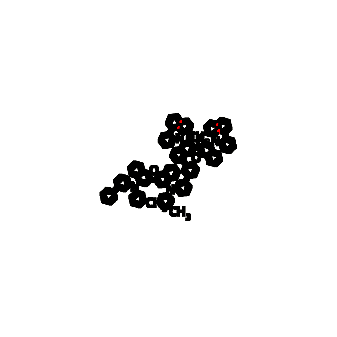 Cc1cccc(N(c2cccc(-c3ccccc3)c2)c2cc3c4cc(N(c5cccc(C)c5)c5cccc(-c6cccc(-c7cccc8c(N(c9ccccc9C)c9ccccc9-c9ccccc9)cc9c%10cc(N(c%11ccccc%11C)c%11ccccc%11-c%11ccccc%11)c%11ccccc%11c%10oc9c78)c6)c5)c5ccccc5c4oc3c3ccccc23)c1